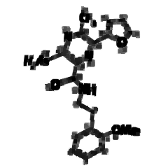 COc1ccccc1CCNC(=O)c1nc(-c2ccco2)c(C(F)(F)F)nc1[AsH2]